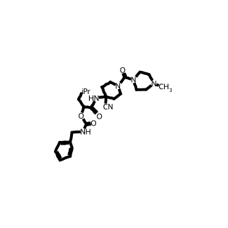 CC(C)CC(OC(=O)NCc1ccccc1)C(=O)NC1(C#N)CCN(C(=O)N2CCN(C)CC2)CC1